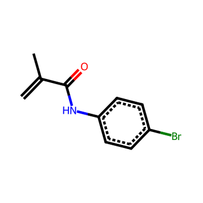 C=C(C)C(=O)Nc1ccc(Br)cc1